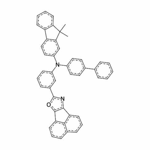 CC1(C)c2ccccc2-c2ccc(N(c3ccc(-c4ccccc4)cc3)c3cccc(-c4nc5c(o4)-c4cccc6cccc-5c46)c3)cc21